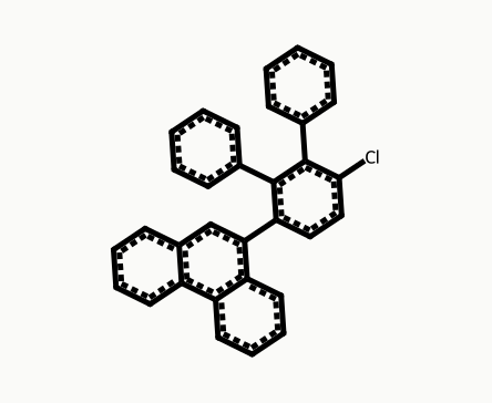 Clc1ccc(-c2cc3ccccc3c3ccccc23)c(-c2ccccc2)c1-c1ccccc1